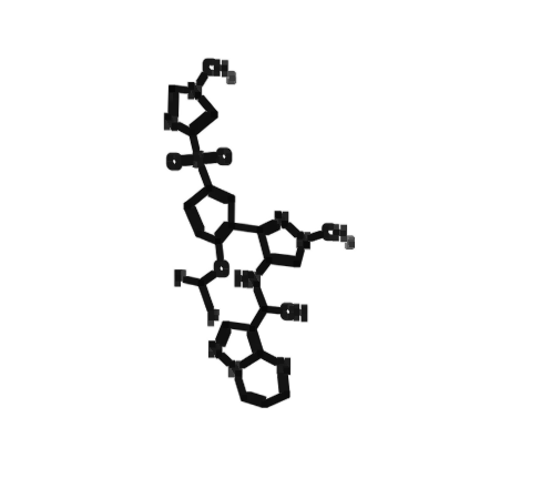 Cn1cnc(S(=O)(=O)c2ccc(OC(F)F)c(-c3nn(C)cc3NC(O)c3cnn4cccnc34)c2)c1